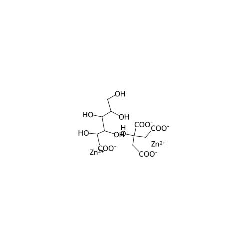 O=C([O-])C(O)C(O)C(O)C(O)CO.O=C([O-])CC(O)(CC(=O)[O-])C(=O)[O-].[Zn+2].[Zn+2]